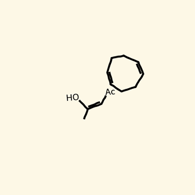 C1=C\CC/C=C\CC/1.CC(=O)/C=C(/C)O